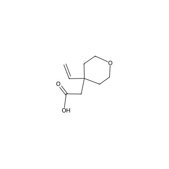 C=CC1(CC(=O)O)CCOCC1